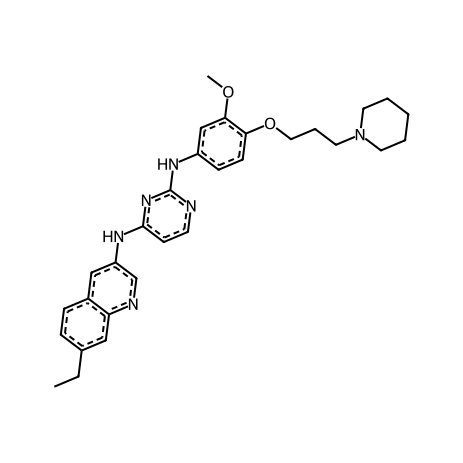 CCc1ccc2cc(Nc3ccnc(Nc4ccc(OCCCN5CCCCC5)c(OC)c4)n3)cnc2c1